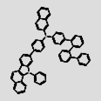 c1ccc(-c2ccccc2-c2ccccc2-c2ccc(N(c3ccc(-c4ccc5c6ccc7ccccc7c6n(-c6ccccc6)c5c4)cc3)c3ccc4ccccc4c3)cc2)cc1